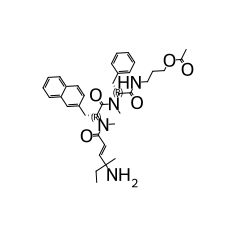 CCC(C)(N)C=CC(=O)N(C)[C@H](Cc1ccc2ccccc2c1)C(=O)N(C)[C@H](Cc1ccccc1)C(=O)NCCCOC(C)=O